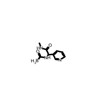 BC(=O)NC(C(=O)NC)c1cccnc1